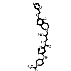 CC(=O)N1CCC(Nc2cc(C(=O)NCC(O)CN3CCc4c(ccc(OCc5cnco5)c4Cl)C3)ncn2)CC1